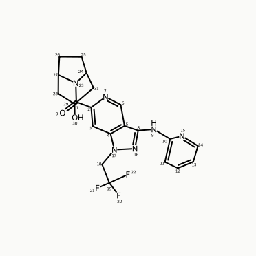 O=C(c1cc2c(cn1)c(Nc1ccccn1)nn2CC(F)(F)F)N1C2CCC1CC(O)C2